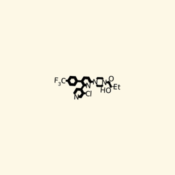 CC[C@H](O)C(=O)N1CCN(c2ccc(-c3ccc(C(F)(F)F)cc3)c(-c3ccncc3Cl)n2)CC1